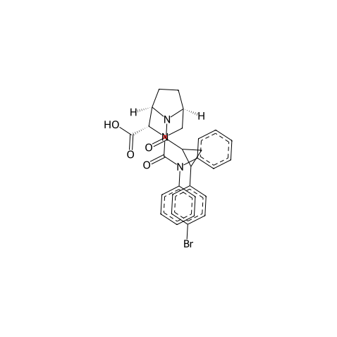 O=C(O)[C@@H]1[C@H]2CC[C@@H](CN1C(=O)N(c1ccccc1)c1ccccc1)N2C(=O)C1CC1c1ccc(Br)cc1